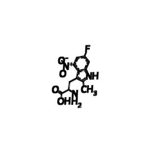 Cc1[nH]c2cc(F)cc([N+](=O)[O-])c2c1CC(N)C(=O)O